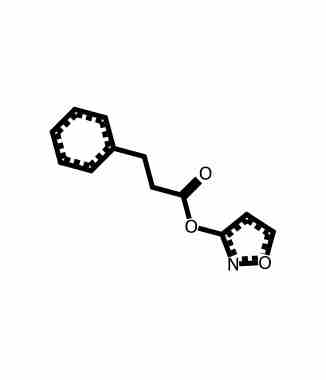 O=C(CCc1ccccc1)Oc1ccon1